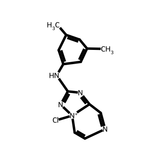 Cc1cc(C)cc(NC2=N[N+]3(Cl)C=CN=CC3=N2)c1